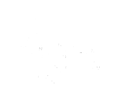 C#Cc1cccc2cc(O)cc(-c3ncc4c(N5C[C@H]6C[C@@H]5CN6)nc(OC[C@@]56CCCN5C[C@H](OC)C6)nc4c3F)c12